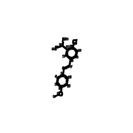 COc1ccc(/C=C/c2ccc(Cl)c(C(F)F)c2)cc1